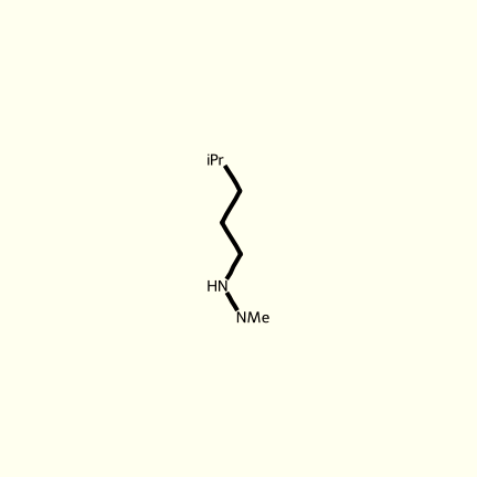 CNNCCCC(C)C